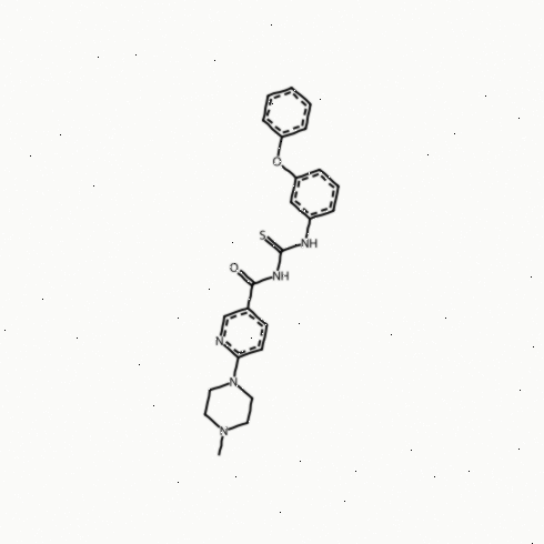 CN1CCN(c2ccc(C(=O)NC(=S)Nc3cccc(Oc4ccccc4)c3)cn2)CC1